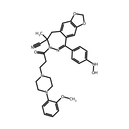 COc1ccccc1N1CCN(CCC(=O)N2N=C(c3ccc(NO)cc3)c3cc4c(cc3CC2(C)C#N)OCO4)CC1